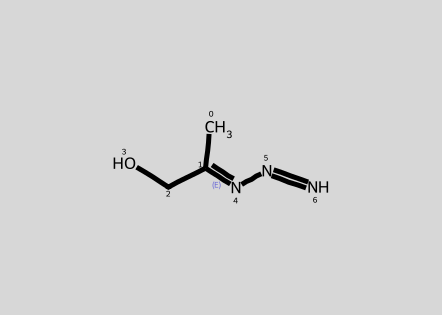 C/C(CO)=N\N=N